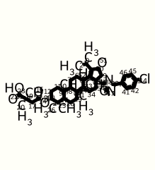 CC(C)C1=C2[C@H]3CCC4[C@@]5(C)CC[C@H](OC(=O)CC(C)(C)C(=O)O)C(C)(C)C5CC[C@@]4(C)[C@]3(C)CC[C@@]2(c2nc(-c3ccc(Cl)cc3)no2)CC1=O